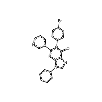 O=c1c2ncn(-c3ccccc3)c2nc(-c2cccnc2)n1-c1ccc(Br)cc1